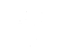 CCCC1(c2ccccc2O)CCCCC1